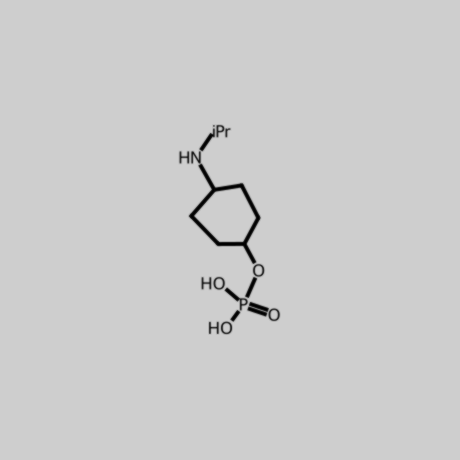 CC(C)NC1CCC(OP(=O)(O)O)CC1